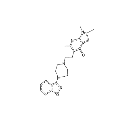 Cc1nc2n(C)c(C)cn2c(=O)c1CCN1CCN(c2noc3ccccc23)CC1